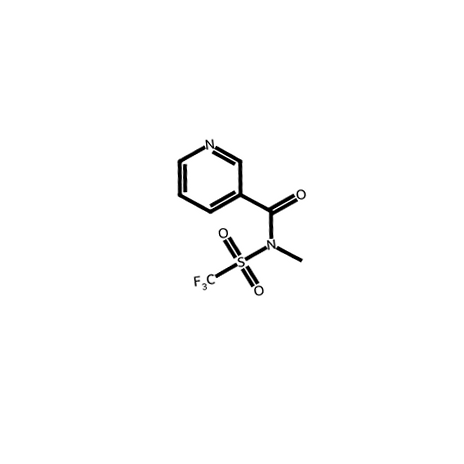 CN(C(=O)c1cccnc1)S(=O)(=O)C(F)(F)F